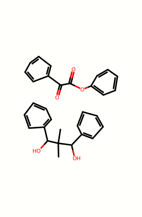 CC(C)(C(O)c1ccccc1)C(O)c1ccccc1.O=C(Oc1ccccc1)C(=O)c1ccccc1